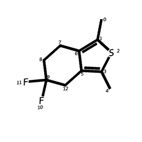 Cc1sc(C)c2c1CCC(F)(F)C2